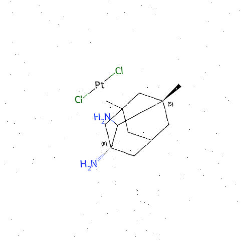 CC12CC3C[C@@](C)(C1)C(N)[C@@](N)(C3)C2.[Cl][Pt][Cl]